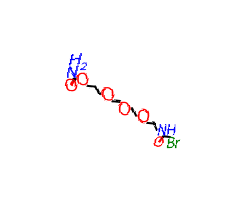 NC(=O)OCCCOCCOCCOCCCNC(=O)CBr